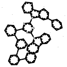 c1ccc(-c2ccc3c4ccccc4n(-c4nc(-c5ccccc5-c5cccc(-c6ccccc6-c6ccccc6)c5)nc(-n5c6ccccc6c6ccccc65)n4)c3c2)cc1